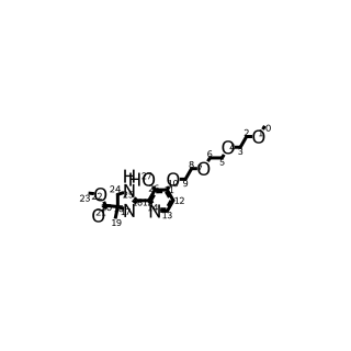 COCCOCCOCCOc1ccnc(C2=NC(C)(C(=O)OC)CN2)c1O